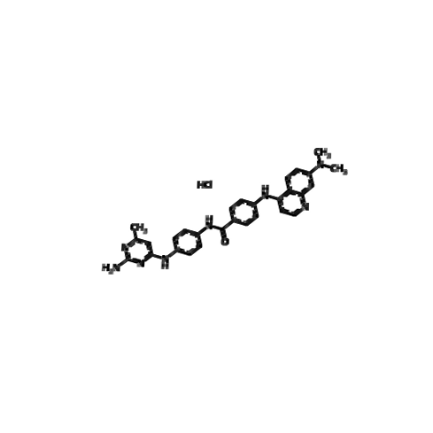 Cc1cc(Nc2ccc(NC(=O)c3ccc(Nc4ccnc5cc(N(C)C)ccc45)cc3)cc2)nc(N)n1.Cl